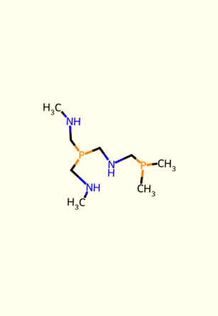 CNCP(CNC)CNCP(C)C